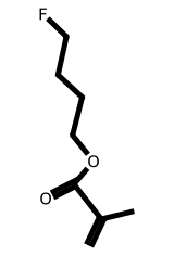 C=C(C)C(=O)OCCCCF